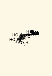 O=C(O)CCC(CC(=O)O)NC(=O)NC(CCCCNC(=O)CCCCN(Cc1ccccn1)Cc1ccccn1)C(=O)O